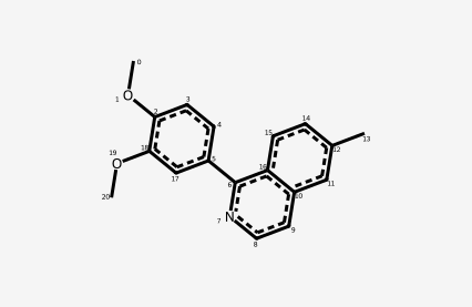 COc1ccc(-c2nccc3cc(C)ccc23)cc1OC